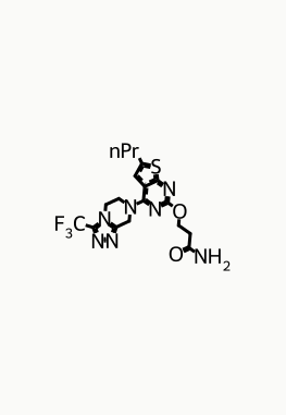 CCCc1cc2c(N3CCn4c(nnc4C(F)(F)F)C3)nc(OCCC(N)=O)nc2s1